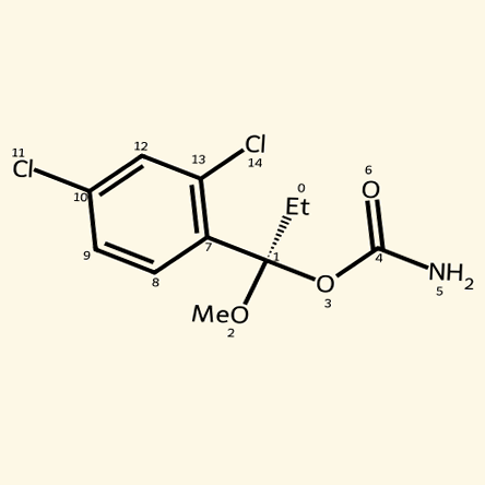 CC[C@@](OC)(OC(N)=O)c1ccc(Cl)cc1Cl